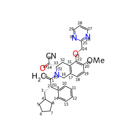 C=C([C@@H](CC1CCCC1)c1ccccc1)N1Cc2ccc(OC)c(OCc3ncccn3)c2C[C@H]1C(=O)C#N